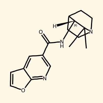 CC1(C)[C@H](NC(=O)c2cnc3occc3c2)C2CCN1CC2